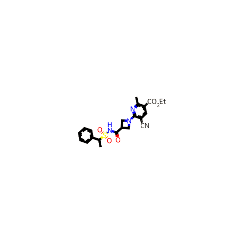 CCOC(=O)c1cc(C#N)c(N2CC(C(=O)NS(=O)(=O)C(C)c3ccccc3)C2)nc1C